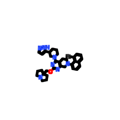 CCc1cccc2cccc(N3CCc4c(nc(OCC56CCCN5CCC6)nc4N4CCCC(c5ccn[nH]5)C4)C3)c12